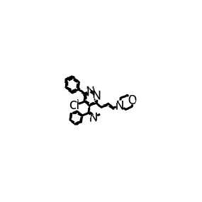 C/N=C(/c1ccccc1)c1c(CCCN2CCOCC2)nnc(-c2ccccc2)c1Cl